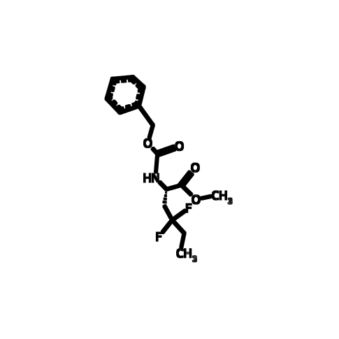 CCC(F)(F)C[C@H](NC(=O)OCc1ccccc1)C(=O)OC